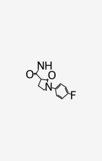 CNC(=O)C1CCN(c2ccc(F)cc2)C1=O